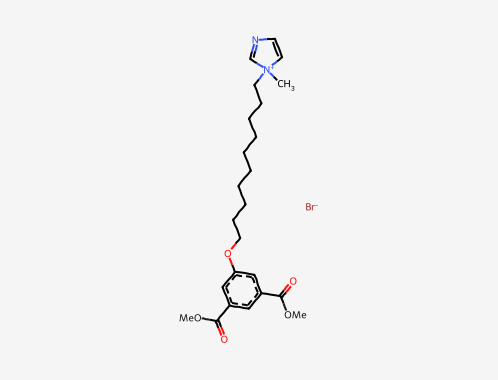 COC(=O)c1cc(OCCCCCCCCCC[N+]2(C)C=CN=C2)cc(C(=O)OC)c1.[Br-]